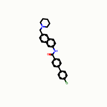 O=C(Nc1ccc2cc(CN3CCCCC3)ccc2c1)c1ccc(-c2ccc(Cl)cc2)cc1